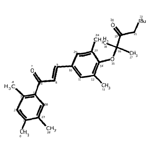 Cc1cc(C)c(C(=O)/C=C/c2cc(C)c(OC(C)(C)C(=O)CC(C)(C)C)c(C)c2)cc1C